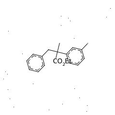 CCOC(=O)C(C)(Cc1ccccc1)c1cccc(C)c1